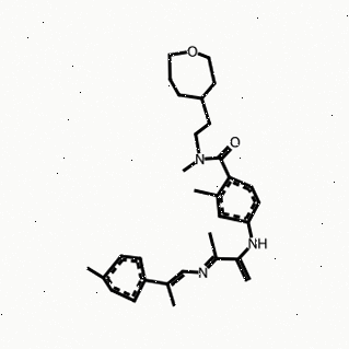 C=C(Nc1ccc(C(=O)N(C)CCC2CCCOCC2)c(C)c1)/C(C)=N/C=C(\C)c1ccc(C)cc1